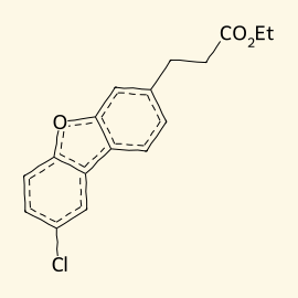 CCOC(=O)CCc1ccc2c(c1)oc1ccc(Cl)cc12